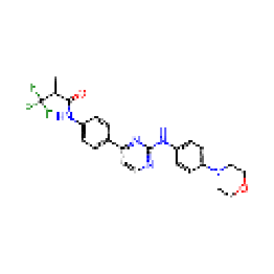 CC(C(=O)Nc1ccc(-c2ccnc(Nc3ccc(N4CCOCC4)cc3)n2)cc1)C(F)(F)F